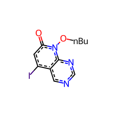 CCCCOn1c(=O)cc(I)c2cncnc21